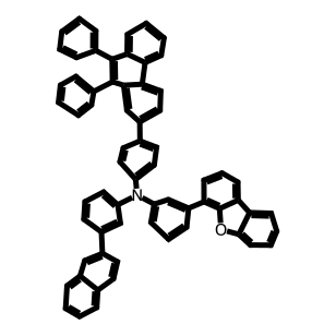 c1ccc(-c2c(-c3ccccc3)c3cc(-c4ccc(N(c5cccc(-c6ccc7ccccc7c6)c5)c5cccc(-c6cccc7c6oc6ccccc67)c5)cc4)ccc3c3ccccc23)cc1